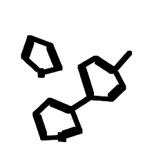 Cc1ccc(-c2cccnc2)cc1.c1ccsc1